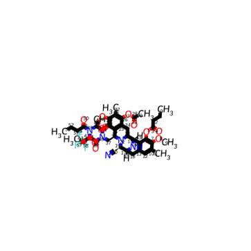 CCCC(=O)Oc1c(OC)c(C)cc2c1[C@H]1N[C@H](C2)[C@H](C#N)N2C1Cc1c(OC(C)=O)c(C)c3c(c1[C@@H]2CN(C(=O)CCC)C(=O)[C@H](C)N(C(=O)CCC)C(=O)C(F)(F)F)OCO3